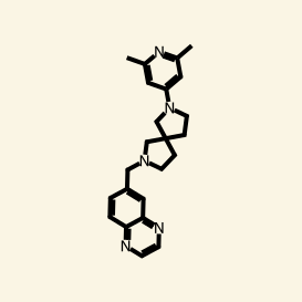 Cc1cc(N2CCC3(CCN(Cc4ccc5nccnc5c4)C3)C2)cc(C)n1